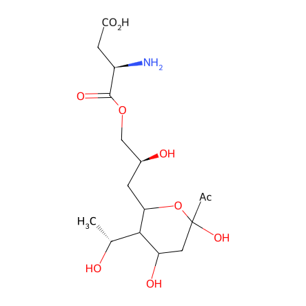 CC(=O)C1(O)CC(O)C([C@@H](C)O)C(C[C@H](O)COC(=O)[C@H](N)CC(=O)O)O1